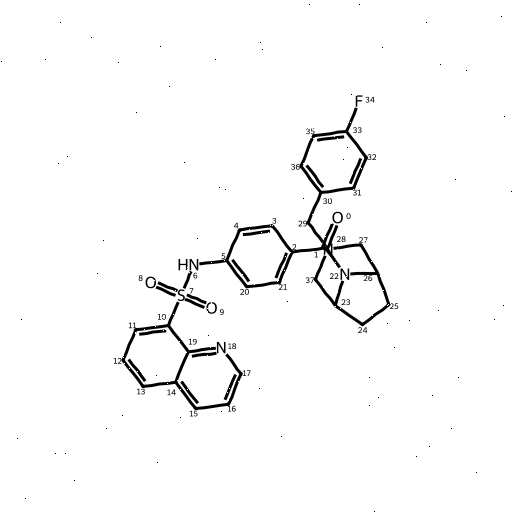 O=C(c1ccc(NS(=O)(=O)c2cccc3cccnc23)cc1)N1C2CCC1CN(Cc1ccc(F)cc1)C2